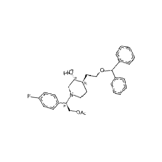 CC(=O)OC[C@@H](c1ccc(F)cc1)N1CC[C@H](CCOC(c2ccccc2)c2ccccc2)[C@@H](O)C1